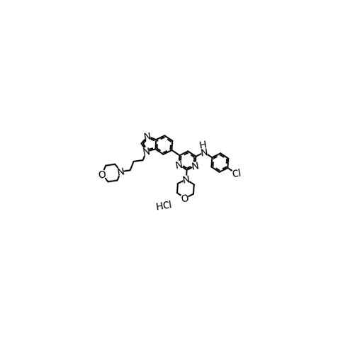 Cl.Clc1ccc(Nc2cc(-c3ccc4ncn(CCCN5CCOCC5)c4c3)nc(N3CCOCC3)n2)cc1